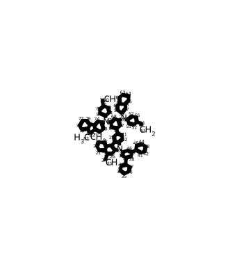 C=Cc1ccc(N(c2cc(-c3ccc4c(c3)c3c5ccccc5c(C=C)cc3n4-c3cc(-c4ccccc4)cc(-c4ccccc4)c3)cc(N(c3ccc(C=C)cc3)c3ccc4ccccc4c3)c2)c2ccc3c(c2)-c2ccccc2C3(C)C)cc1